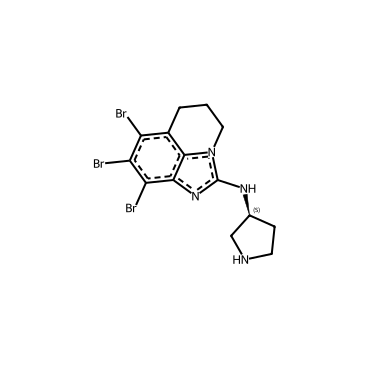 Brc1c(Br)c2c3c(nc(N[C@H]4CCNC4)n3CCC2)c1Br